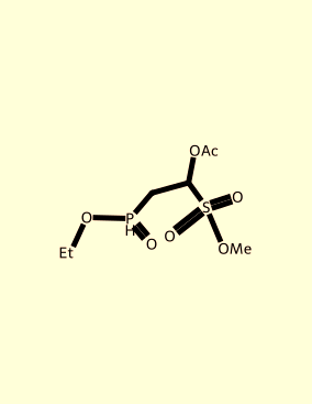 CCO[PH](=O)CC(OC(C)=O)S(=O)(=O)OC